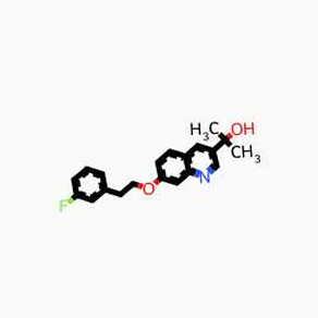 CC(C)(O)c1cnc2cc(OCCc3cccc(F)c3)ccc2c1